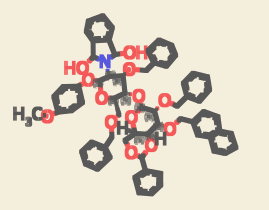 COc1ccc(O[C@@H]2O[C@H](COCc3ccccc3)[C@@H](O[C@H]3O[C@H]4COC(c5ccccc5)O[C@@H]4[C@@H](OCc4ccc5ccccc5c4)[C@H]3OCc3ccccc3)[C@H](OCc3ccccc3)[C@H]2N2C(O)c3ccccc3C2O)cc1